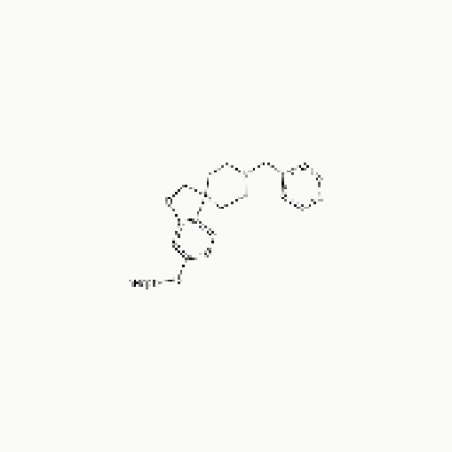 CCCCCCCOc1ccc2c(c1)OCC21CCN(Cc2ccccc2)CC1